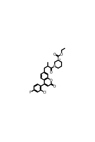 CCOC(=O)[C@H]1CCCN(C(=O)C(C)Cc2ccc3c(-c4ccc(F)cc4Cl)cc(=O)oc3c2)C1